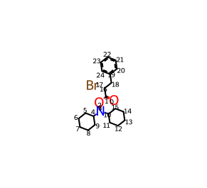 O=C(ON(C1CCCCC1)C1CCCCC1)[C@H](Br)Cc1ccccc1